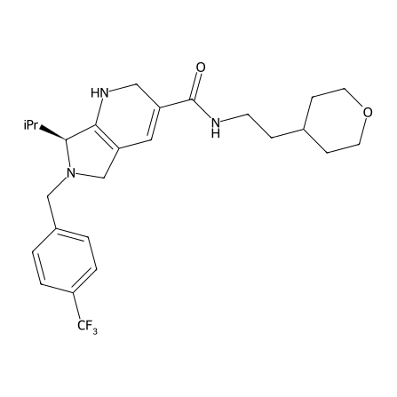 CC(C)[C@H]1C2=C(C=C(C(=O)NCCC3CCOCC3)CN2)CN1Cc1ccc(C(F)(F)F)cc1